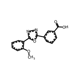 COc1ccccc1-c1nnc(-c2cccc(C(=O)O)c2)o1